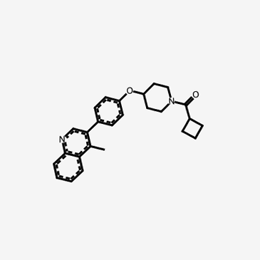 Cc1c(-c2ccc(OC3CCN(C(=O)C4CCC4)CC3)cc2)cnc2ccccc12